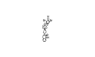 O=C(O)[C@@H](Cc1cc(Br)c(O)c(Br)c1)OC(=O)N1CCC(N2CCc3ccccc3NC2=O)CC1